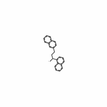 [CH2]C(CCc1ccc2ccccc2c1)c1cccc2ccccc12